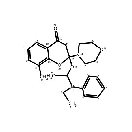 CCN(c1ccccc1)C(C)OC1(N2CCOCC2)CC(=O)c2cccc(C)c2O1